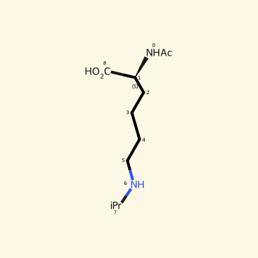 CC(=O)N[C@@H](CCCCNC(C)C)C(=O)O